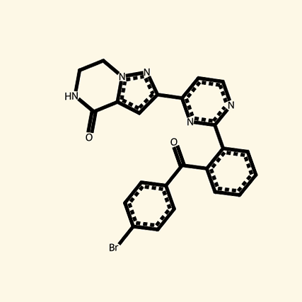 O=C(c1ccc(Br)cc1)c1ccccc1-c1nccc(-c2cc3n(n2)CCNC3=O)n1